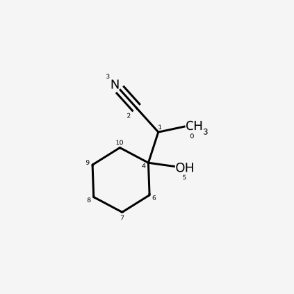 CC(C#N)C1(O)CCCCC1